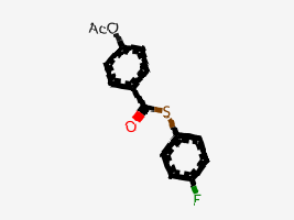 CC(=O)Oc1ccc(C(=O)Sc2ccc(F)cc2)cc1